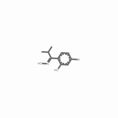 CC(C)C(=NO)c1ccc(Br)cc1O